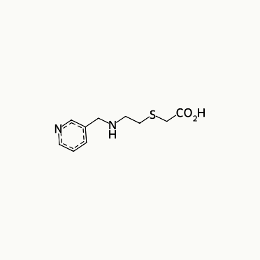 O=C(O)CSCCNCc1cccnc1